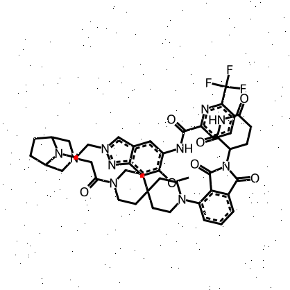 COc1cc2nn(CCN3C4CCC3CN(CC(=O)N3CCC5(CC3)CCN(c3cccc6c3C(=O)N(C3CCC(=O)NC3=O)C6=O)CC5)C4)cc2cc1NC(=O)c1cccc(C(F)(F)F)n1